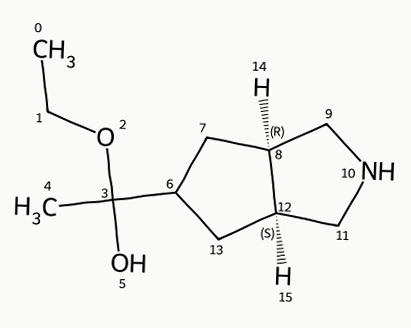 CCOC(C)(O)C1C[C@H]2CNC[C@H]2C1